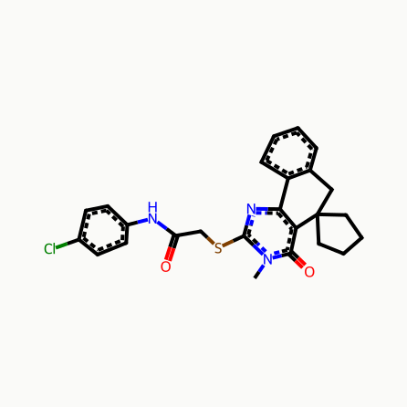 Cn1c(SCC(=O)Nc2ccc(Cl)cc2)nc2c(c1=O)C1(CCCC1)Cc1ccccc1-2